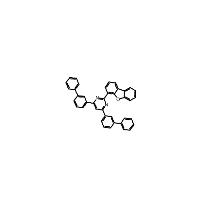 c1ccc(-c2cccc(-c3cc(-c4cccc(-c5ccccc5)c4)nc(-c4cccc5c4oc4ccccc45)n3)c2)cc1